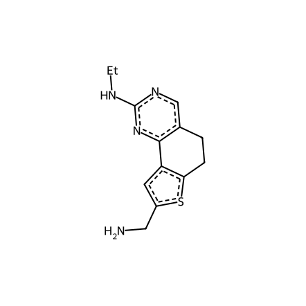 CCNc1ncc2c(n1)-c1cc(CN)sc1CC2